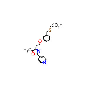 Cc1oc(-c2ccncc2)nc1CCOc1cccc(CSCC(=O)O)c1